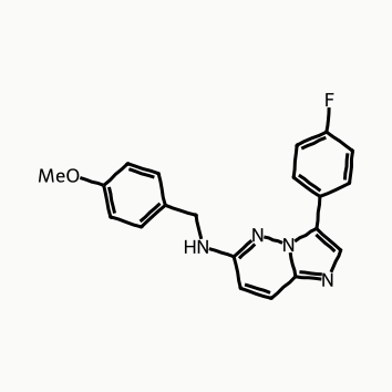 COc1ccc(CNc2ccc3ncc(-c4ccc(F)cc4)n3n2)cc1